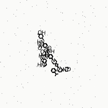 CC(C)c1ccccc1[C@@H]1CC[C@H](N2CCOCC2)CN1C1CC2(CCN(c3ccc(C(=O)NS(=O)(=O)c4ccc(NCC5CCC(C)(O)CC5)c([N+](=O)[O-])c4)c(N4c5cc6cc[nH]c6nc5O[C@H]5COCC[C@@H]54)c3)CC2)C1